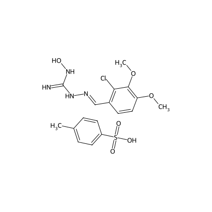 COc1ccc(/C=N/NC(=N)NO)c(Cl)c1OC.Cc1ccc(S(=O)(=O)O)cc1